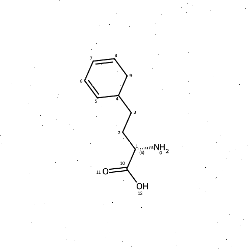 N[C@@H](CCC1C=CC=CC1)C(=O)O